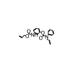 C=CCOC(=O)Nc1cccc(OC(=O)N(CC=C)c2ccccc2)c1